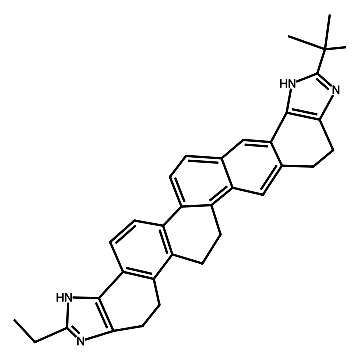 CCc1nc2c([nH]1)-c1ccc3c(c1CC2)CCc1c-3ccc2cc3c(cc12)CCc1nc(C(C)(C)C)[nH]c1-3